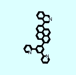 c1ccc(-c2cc(-c3ccccn3)cc(-c3ccc4ccc5c(-c6cncc7ccccc67)ccc6ccc3c4c65)c2)nc1